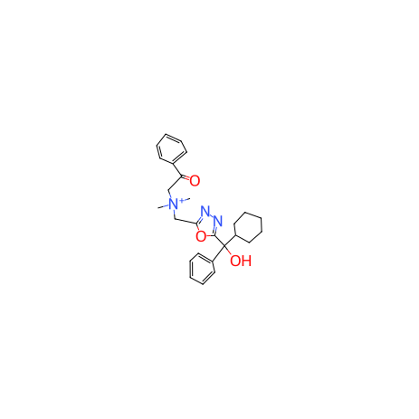 C[N+](C)(CC(=O)c1ccccc1)Cc1nnc(C(O)(c2ccccc2)C2CCCCC2)o1